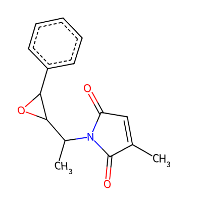 CC1=CC(=O)N(C(C)C2OC2c2ccccc2)C1=O